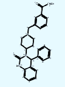 COC(=O)c1cccc(CN2CCC(N3C(=O)Nc4ccccc4C3c3ccccc3)CC2)c1